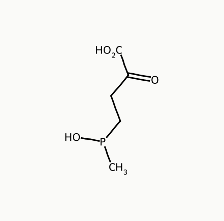 CP(O)CCC(=O)C(=O)O